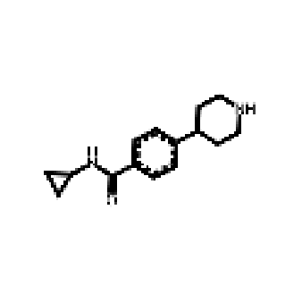 O=C(NC1CC1)c1ccc(C2CCNCC2)cc1